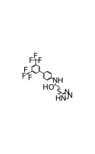 OC(CSc1nnc[nH]1)Nc1ccc(-c2cc(C(F)(F)F)cc(C(F)(F)F)c2)cc1